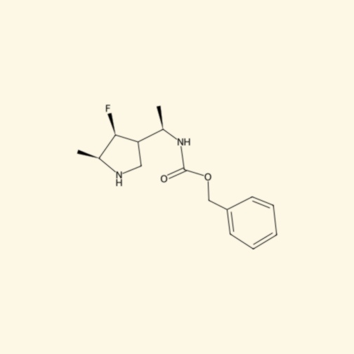 C[C@@H]1NCC([C@@H](C)NC(=O)OCc2ccccc2)[C@@H]1F